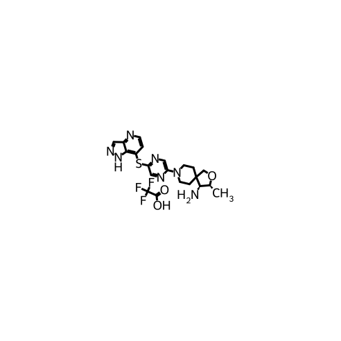 C[C@@H]1OCC2(CCN(c3cnc(Sc4ccnc5cn[nH]c45)cn3)CC2)[C@@H]1N.O=C(O)C(F)(F)F